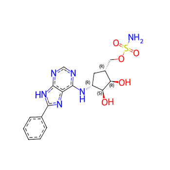 NS(=O)(=O)OC[C@H]1C[C@@H](Nc2ncnc3[nH]c(-c4ccccc4)nc23)[C@H](O)[C@@H]1O